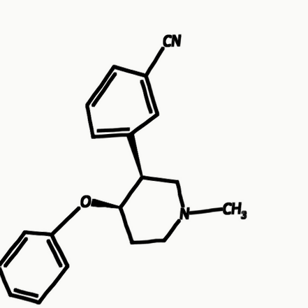 CN1CC[C@@H](Oc2ccccc2)[C@@H](c2cccc(C#N)c2)C1